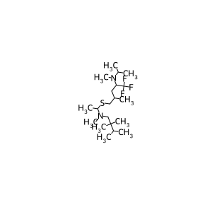 CC(CSC(C)N(C)CC(C)(C)C(C)C)CC(N(C)C(C)C)C(F)(F)F